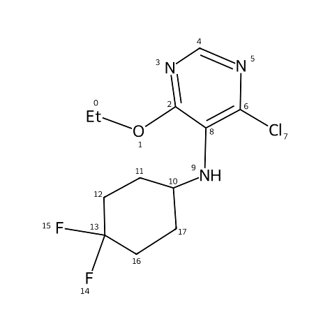 CCOc1ncnc(Cl)c1NC1CCC(F)(F)CC1